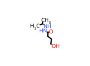 CC(C)NNC(=O)CCCO